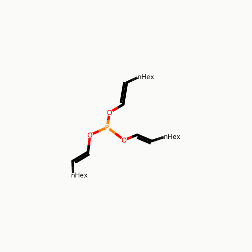 CCCCCC/C=C/OP(O/C=C/CCCCCC)O/C=C/CCCCCC